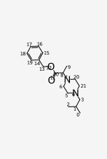 CC(C)CN1CCN(C(C)C(=O)OCc2ccccc2)CC1